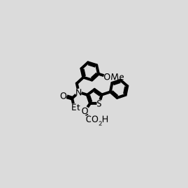 CCC(=O)N(Cc1cccc(OC)c1)c1cc(-c2ccccc2)sc1OC(=O)O